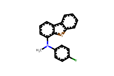 CN(c1ccc(F)cc1)c1cccc2c1sc1ccccc12